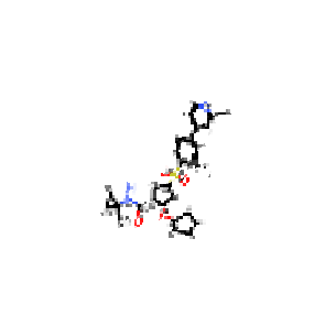 Cc1cc(-c2ccc(S(=O)(=O)[C@H]3C[C@@H](OC4CCCC4)[C@H](C(=O)NC4(C#N)CC4)C3)c(C(F)(F)F)c2)ccn1